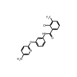 Nc1ccc(Oc2cccc(NC(=O)c3cccc(C(F)(F)F)c3Cl)c2)nc1